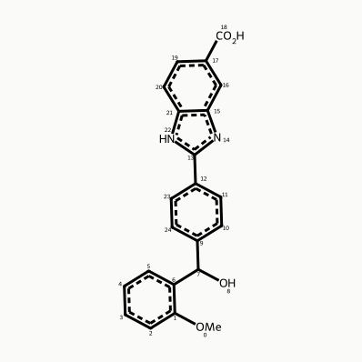 COc1ccccc1C(O)c1ccc(-c2nc3cc(C(=O)O)ccc3[nH]2)cc1